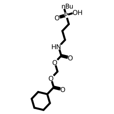 CCCCP(=O)(O)CCCNC(=O)OCOC(=O)C1CCCCC1